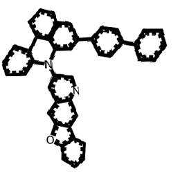 c1ccc(-c2ccc(-c3cccc(N(c4cnc5cc6c(cc5c4)oc4ccccc46)c4ccccc4-c4ccccc4)c3)cc2)cc1